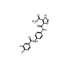 Cc1cc(C(=O)Nc2ccc(N(C)C(=O)c3nc[nH]c3C(N)=O)cc2)ccc1F